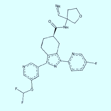 N=CC1(NC(=O)[C@@H]2CCc3c(-c4cncc(OC(F)F)c4)nn(-c4ccc(F)cn4)c3C2)CCOC1